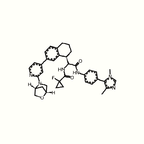 Cc1ncn(C)c1-c1ccc(NC(=O)C(NC(=O)C2(F)CC2)[C@@H]2CCCc3ccc(-c4ccnc(N5C[C@H]6C[C@@H]5CO6)c4)cc32)cc1